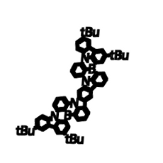 CC(C)(C)c1ccc2c(c1)c1cc(C(C)(C)C)cc3c1n2-c1cccc2c1B3c1cccc3c4cc5c6cccc7c6n(c5cc4n-2c13)-c1cccc2c1B7c1cc(C(C)(C)C)cc3c4cc(C(C)(C)C)ccc4n-2c13